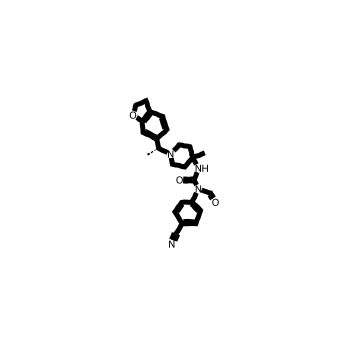 C[C@H](c1ccc2c(c1)OCC2)N1CCC(C)(NC(=O)N(C=O)c2ccc(C#N)cc2)CC1